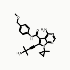 COCc1ccc(NC(=O)c2c(C#CC(C)(C)N)n(C3(C)CC3)c3ncnc(N)c23)cc1